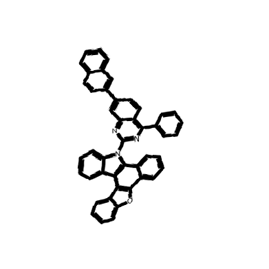 c1ccc(-c2nc(-n3c4ccccc4c4c5c6ccccc6oc5c5ccccc5c43)nc3cc(-c4ccc5ccccc5c4)ccc23)cc1